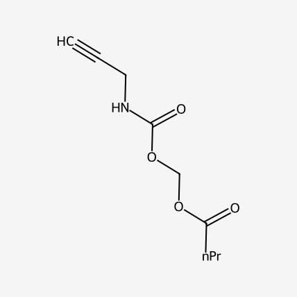 C#CCNC(=O)OCOC(=O)CCC